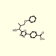 COC(=O)c1ccc(-c2nnc(C(S)C(C)COc3ccccc3)o2)cc1